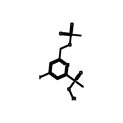 CCOP(C)(=O)c1cc(I)cc(COS(C)(=O)=O)n1